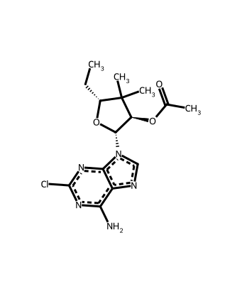 CC[C@H]1O[C@@H](n2cnc3c(N)nc(Cl)nc32)[C@H](OC(C)=O)C1(C)C